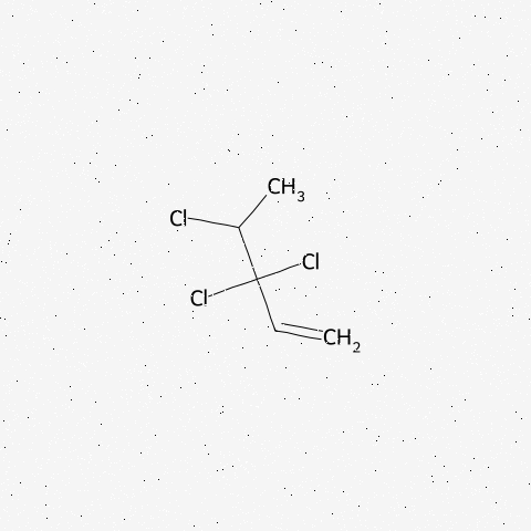 C=CC(Cl)(Cl)C(C)Cl